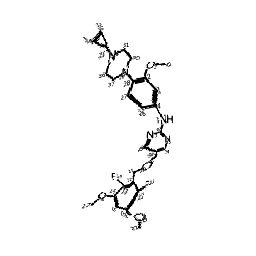 COc1cc(Nc2ncc(OCc3c(F)c(OC)cc(OC)c3F)cn2)ccc1N1CCN(C2CC2)CC1